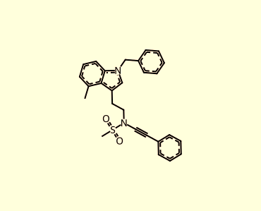 Cc1cccc2c1c(CCN(C#Cc1ccccc1)S(C)(=O)=O)cn2Cc1ccccc1